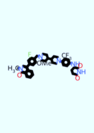 COc1cc(-c2cn(C)c(=O)c3ccccc23)cc(F)c1CN1CCC(C2CCN(c3ccc(NC4CCC(=O)NC4=O)cc3C(F)(F)F)CC2)CC1